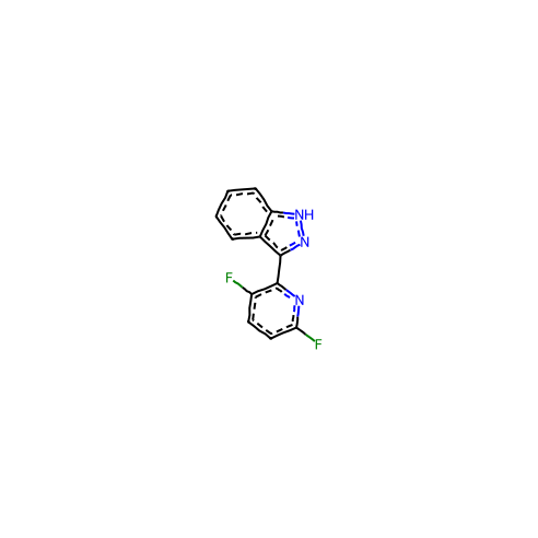 Fc1ccc(F)c(-c2n[nH]c3ccccc23)n1